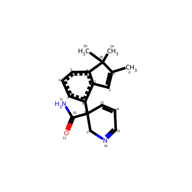 CC1=Cc2c(cccc2C2(C(N)=O)C=CC=NC2)C1(C)C